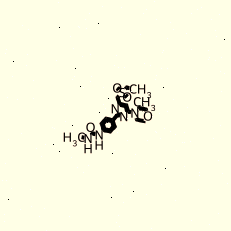 CCS(=O)(=O)Cc1cc(N2CCOC[C@@H]2C)nc(-c2ccc(NC(=O)NC)cc2)n1